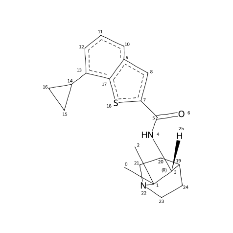 CC1(C)[C@H](NC(=O)c2cc3cccc(C4CC4)c3s2)C2CCN1CC2